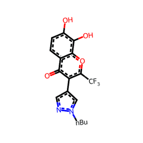 CCCCn1cc(-c2c(C(F)(F)F)oc3c(O)c(O)ccc3c2=O)cn1